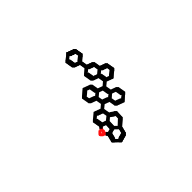 c1ccc(-c2ccc3c(-c4c5ccccc5c(-c5ccc6oc7cccc8ccc5c6c87)c5ccccc45)cccc3c2)cc1